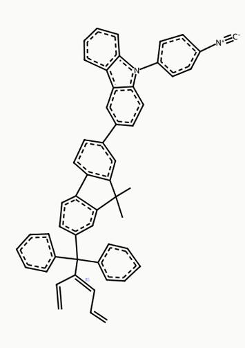 [C-]#[N+]c1ccc(-n2c3ccccc3c3cc(-c4ccc5c(c4)C(C)(C)c4cc(C(/C(C=C)=C/C=C)(c6ccccc6)c6ccccc6)ccc4-5)ccc32)cc1